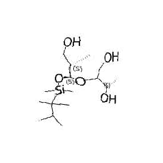 CC(C)C(C)(C)[Si](C)(C)O[C@H](OC(CO)[C@H](C)O)[C@@H](C)CO